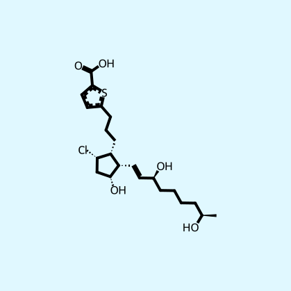 C[C@@H](O)CCCC[C@H](O)C=C[C@H]1[C@@H](CCCc2ccc(C(=O)O)s2)[C@@H](Cl)C[C@H]1O